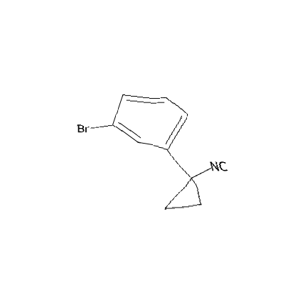 [C-]#[N+]C1(c2cccc(Br)c2)CC1